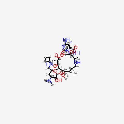 CC[C@H]1OC(=O)[C@H](C)C(=O)[C@H](C)[C@@H](O[C@@H]2O[C@H](CNC3CCC3)CC(N(C)C)C2O)[C@](C)(OC)C[C@@H](C)CN[C@H](C)[C@@H](NC=O)[C@@]1(O)n1ccc(N)nc1=O